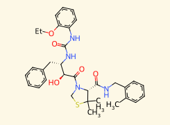 CCOc1ccccc1NC(=O)N[C@@H](Cc1ccccc1)[C@H](O)C(=O)N1CSC(C)(C)[C@H]1C(=O)NCc1ccccc1C